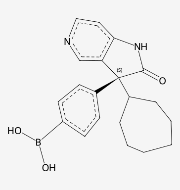 O=C1Nc2ccncc2[C@@]1(c1ccc(B(O)O)cc1)C1CCCCCC1